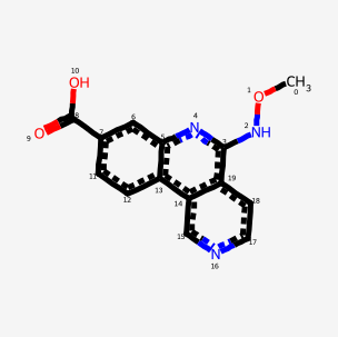 CONc1nc2cc(C(=O)O)ccc2c2cnccc12